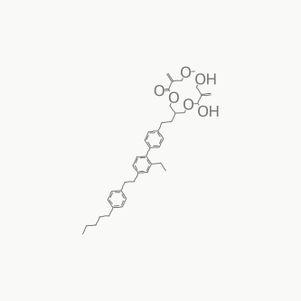 C=C(COC)C(=O)OCC(CCc1ccc(-c2ccc(CCc3ccc(CCCCC)cc3)cc2CC)cc1)COC(O)C(=C)CO